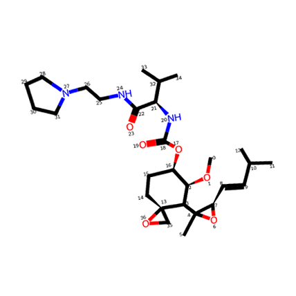 CO[C@H]1C(C2(C)O[C@@H]2/C=C/C(C)C)[C@]2(CC[C@H]1OC(=O)N[C@@H](C(=O)NCCN1CCCC1)C(C)C)CO2